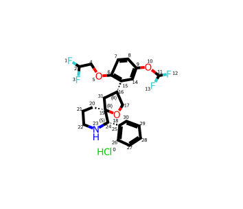 Cl.FC(F)COc1ccc(OC(F)F)cc1[C@@H]1CO[C@]2(CCCN[C@H]2c2ccccc2)C1